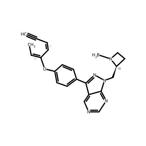 BN1CC[C@H]1Cn1nc(-c2ccc(OC(/C=C\C#C)=C/C)cc2)c2cncnc21